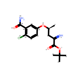 C[C@@H](CC(=N)C(=O)OC(C)(C)C)Oc1ccc(Cl)c(C(N)=O)c1